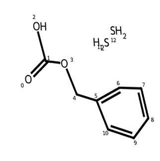 O=C(O)OCc1ccccc1.S.S